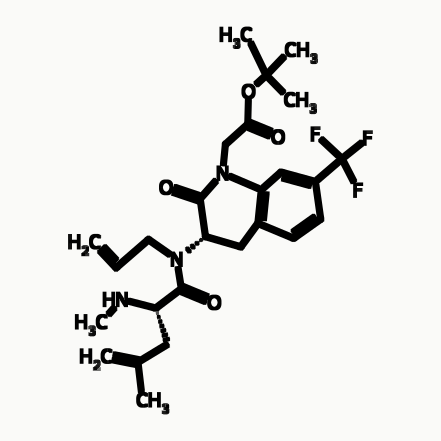 C=CCN(C(=O)[C@H](CC(=C)C)NC)[C@H]1Cc2ccc(C(F)(F)F)cc2N(CC(=O)OC(C)(C)C)C1=O